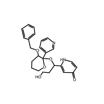 O=c1cc[nH]c(C(CCO)OC2(c3cccnc3)OCCCC2OCc2ccccc2)c1